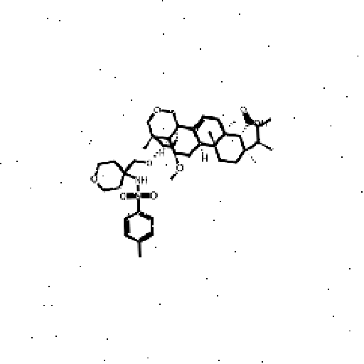 CO[C@@H]1C[C@@]23COC[C@](C)([C@@H]2CC[C@H]2C3=CC[C@@]3(C)[C@H](C(=O)O)[C@@](C)([C@H](C)C(C)C)CC[C@]23C)[C@H]1OCC1(NS(=O)(=O)c2ccc(C)cc2)CCOCC1